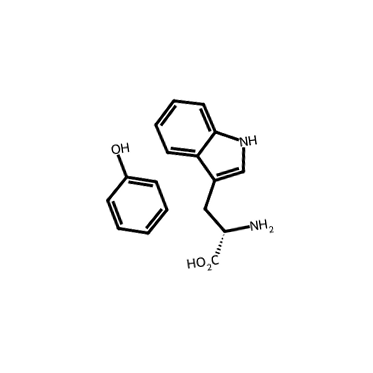 N[C@@H](Cc1c[nH]c2ccccc12)C(=O)O.Oc1ccccc1